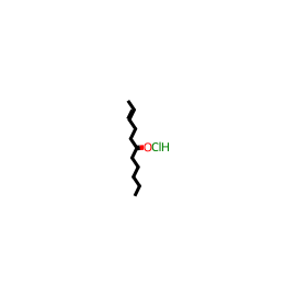 CC=CCCC(=O)CCCCC.Cl